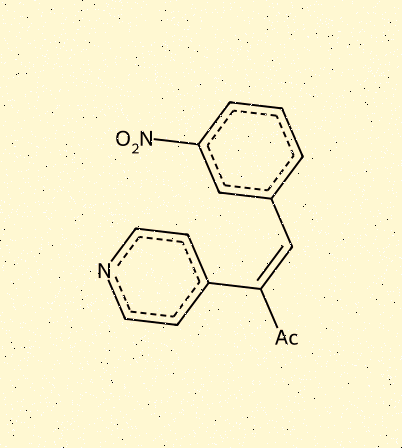 CC(=O)C(=Cc1cccc([N+](=O)[O-])c1)c1ccncc1